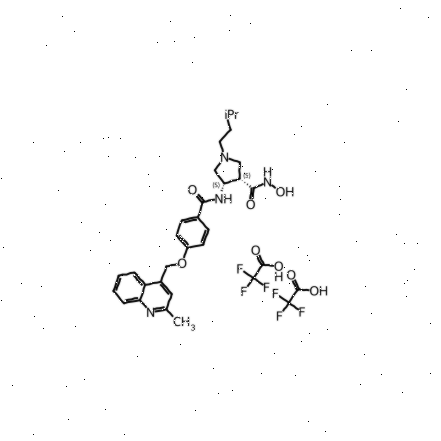 Cc1cc(COc2ccc(C(=O)N[C@@H]3CN(CCC(C)C)C[C@@H]3C(=O)NO)cc2)c2ccccc2n1.O=C(O)C(F)(F)F.O=C(O)C(F)(F)F